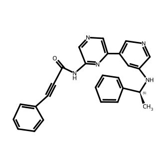 C[C@H](Nc1cncc(-c2cncc(NC(=O)C#Cc3ccccc3)n2)c1)c1ccccc1